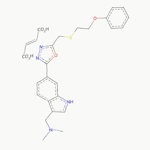 CN(C)Cc1c[nH]c2cc(-c3nnc(CSCCOc4ccccc4)o3)ccc12.O=C(O)C=CC(=O)O